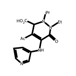 CCN1C(=O)C(Nc2cccnc2)=C(C(C)=O)C(C(=O)O)N1C(C)C